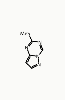 CSc1n[c]n2nccc2n1